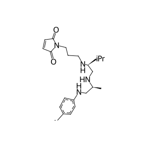 [CH2]c1ccc(NC[C@H](C)NC[C@@H](NCCCN2C(=O)C=CC2=O)C(C)C)cc1